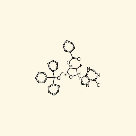 O=C(O[C@@H]1C(F)[C@H](n2cnc3c(Cl)ncnc32)O[C@@H]1COC(c1ccccc1)(c1ccccc1)c1ccccc1)c1ccccc1